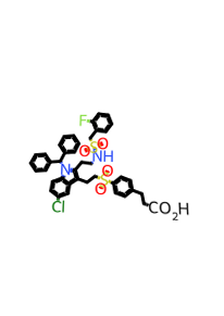 O=C(O)CCc1ccc(S(=O)(=O)CCc2c(CCNS(=O)(=O)Cc3ccccc3F)n(C(c3ccccc3)c3ccccc3)c3ccc(Cl)cc23)cc1